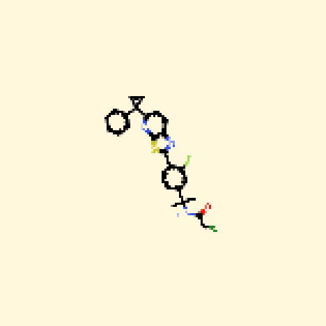 CC(C)(NC(=O)CCl)c1ccc(-c2nc3ccc(C4(c5ccccc5)C=C4)nc3s2)c(F)c1